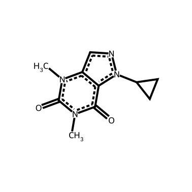 Cn1c(=O)c2c(cnn2C2CC2)n(C)c1=O